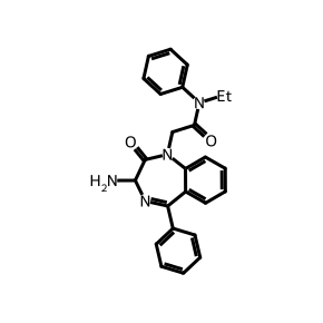 CCN(C(=O)CN1C(=O)C(N)N=C(c2ccccc2)c2ccccc21)c1ccccc1